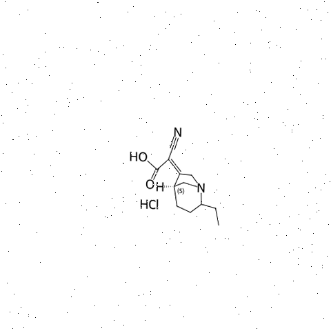 CCC1CC[C@@H]2CN1CC2=C(C#N)C(=O)O.Cl